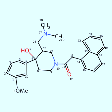 COc1cccc(C2(O)CCN(C(=O)Cc3cccc4ccccc34)CC2CN(C)C)c1